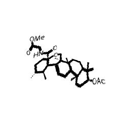 COC(=O)CNC(=O)[C@]12CC[C@@H](C)[C@H](C)C1C1=CCC3[C@@]4(C)CC[C@H](OC(C)=O)C(C)(C)C4CC[C@@]3(C)[C@]1(C)CC2